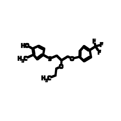 CCCOC(COc1ccc(C(F)(F)F)cc1)CSc1ccc(O)c(C)c1